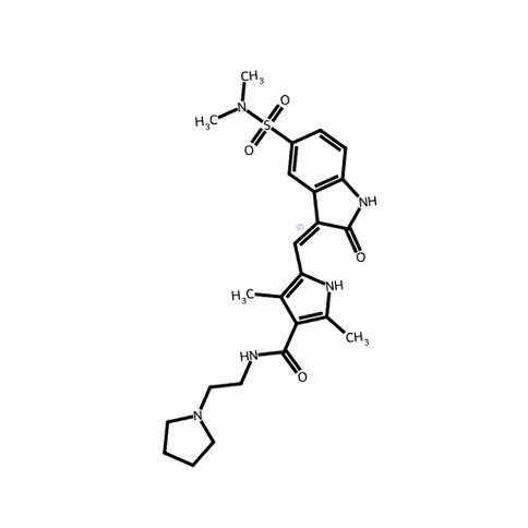 Cc1[nH]c(/C=C2\C(=O)Nc3ccc(S(=O)(=O)N(C)C)cc32)c(C)c1C(=O)NCCN1CCCC1